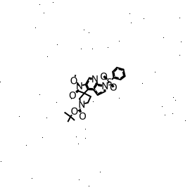 CON1C(=O)C2(CCN(C(=O)OC(C)(C)C)C2)c2c1cnc1c2ccn1S(=O)(=O)c1ccccc1